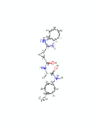 CC(NC(=O)C1CC1c1nc2ccccc2[nH]1)C(=O)N(C)c1ccc(C(F)(F)F)cc1